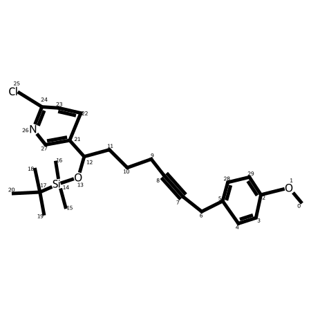 COc1ccc(CC#CCCCC(O[Si](C)(C)C(C)(C)C)c2ccc(Cl)nc2)cc1